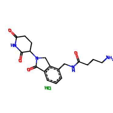 Cl.NCCCC(=O)NCc1cccc2c1CN(C1CCC(=O)NC1=O)C2=O